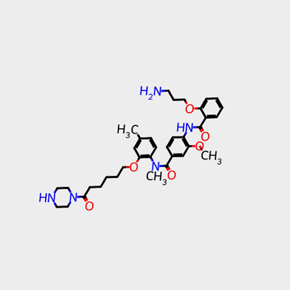 COc1cc(C(=O)N(C)c2ccc(C)cc2OCCCCCC(=O)N2CCNCC2)ccc1NC(=O)c1ccccc1OCCCN